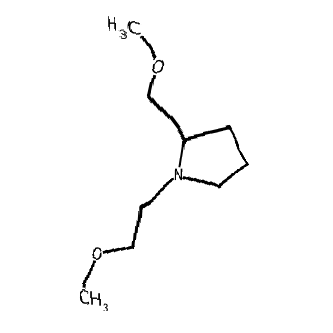 COCCN1CCCC1COC